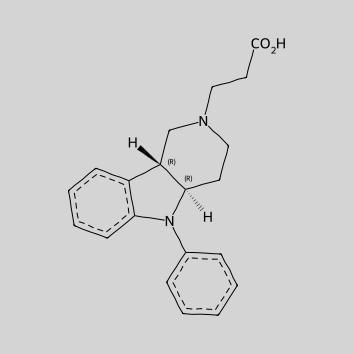 O=C(O)CCN1CC[C@@H]2[C@@H](C1)c1ccccc1N2c1ccccc1